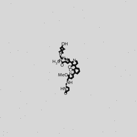 COc1nc(-c2cccc(-c3ccnc(-c4cc5c(=O)n(C)c(CN6CC7(CC(O)C7)C6)nn5c4)c3Cl)c2Cl)ccc1CNC[C@H]1CCC(=O)N1